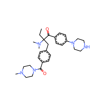 CCC(Cc1ccc(C(=O)N2CCN(C)CC2)cc1)(C(=O)c1ccc(N2CCNCC2)cc1)N(C)C